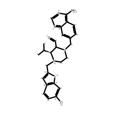 CC(C)[C@H]1C(C=O)N(Cc2ccc3c(N)ncnc3c2)CCN1Cc1cc2ccc(Cl)cc2s1